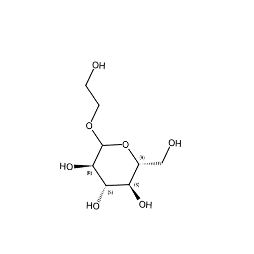 OCCOC1O[C@H](CO)[C@@H](O)[C@H](O)[C@H]1O